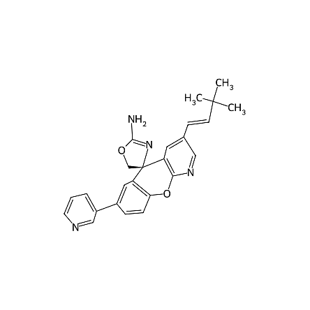 CC(C)(C)/C=C/c1cnc2c(c1)[C@]1(COC(N)=N1)c1cc(-c3cccnc3)ccc1O2